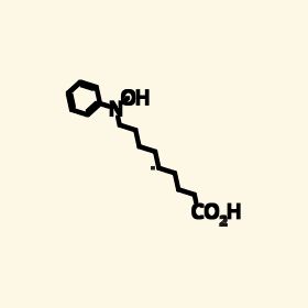 O=C(O)CCC[CH]CCCCN(O)c1ccccc1